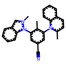 Cc1c(-[n+]2c(C)ccc3ccccc32)cc(C#N)cc1-[n+]1c2ccccc2cn1C